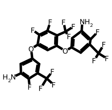 Nc1cc(Oc2cc(Oc3cc(N)c(F)c(C(F)(F)F)c3)c(C(F)(F)F)c(F)c2F)cc(C(F)(F)F)c1F